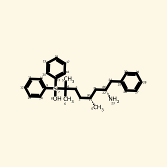 C[C@H](CCC(C)(C)[Si](O)(c1ccccc1)c1ccccc1)C[C@@H](N)Cc1ccccc1